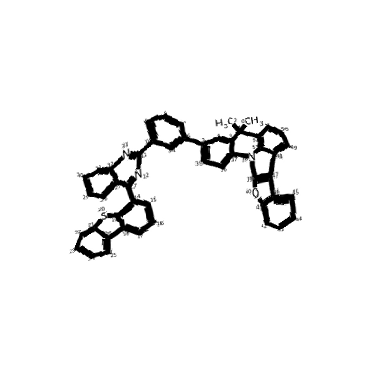 CC1(C)c2cc(-c3cccc(-c4nc(-c5cccc6c5sc5ccccc56)c5ccccc5n4)c3)ccc2-n2c3oc4ccccc4c3c3cccc1c32